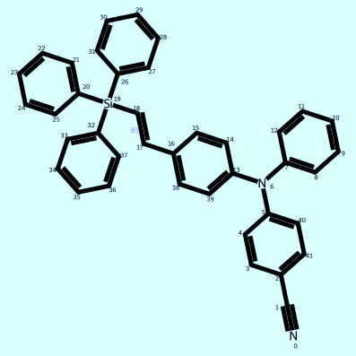 N#Cc1ccc(N(c2ccccc2)c2ccc(/C=C/[Si](c3ccccc3)(c3ccccc3)c3ccccc3)cc2)cc1